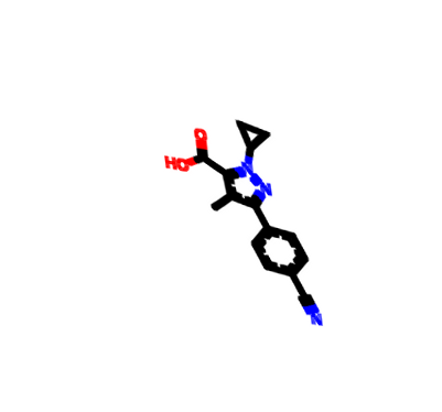 Cc1c(-c2ccc(C#N)cc2)nn(C2CC2)c1C(=O)O